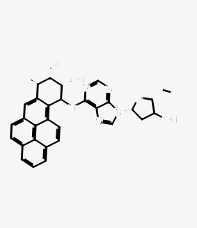 OC[C@H]1O[C@@H](n2cnc3c(NC4c5c(cc6ccc7cccc8ccc5c6c78)[C@@H](O)[C@H](O)[C@@H]4O)ncnc32)CC1O